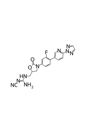 N#C/N=C(\N)NCC1CN(c2ccc(-c3ccc(-n4nccn4)nc3)c(F)c2)C(=O)O1